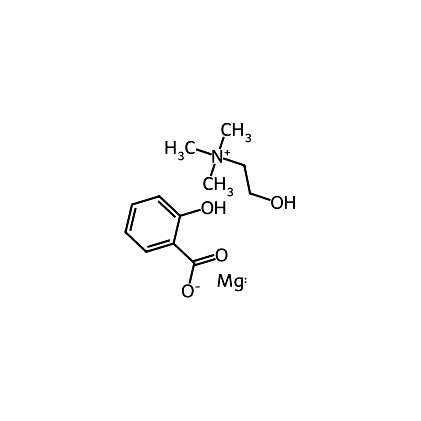 C[N+](C)(C)CCO.O=C([O-])c1ccccc1O.[Mg]